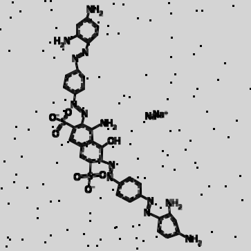 Nc1ccc(N=Nc2ccc(N=Nc3c(S(=O)(=O)[O-])cc4cc(S(=O)(=O)[O-])c(N=Nc5ccc(N=Nc6ccc(N)cc6N)cc5)c(O)c4c3N)cc2)c(N)c1.[Na+].[Na+]